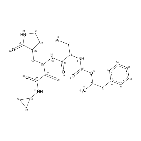 CC(C)CC(NC(=O)OC(C)Cc1ccccc1)C(=O)NC(CC1CCNC1=O)C(=O)C(=O)NC1CC1